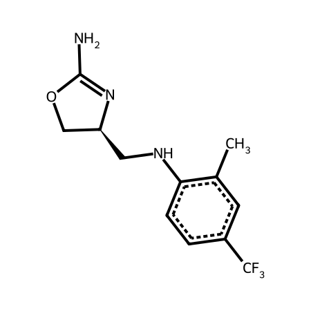 Cc1cc(C(F)(F)F)ccc1NC[C@H]1COC(N)=N1